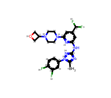 Bc1nc(Nc2cc(C(F)F)cc(N3CCN(C4COC4)CC3)n2)nn1-c1ccc(F)c(F)c1